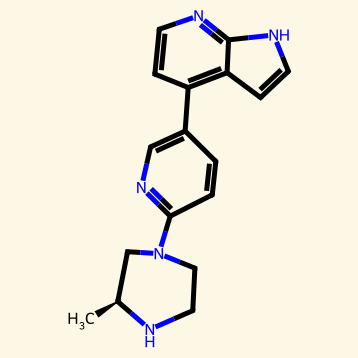 C[C@H]1CN(c2ccc(-c3ccnc4[nH]ccc34)cn2)CCN1